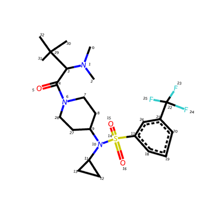 CN(C)C(C(=O)N1CCC(N(C2CC2)S(=O)(=O)c2cccc(C(F)(F)F)c2)CC1)C(C)(C)C